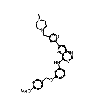 COc1ccc(COc2cccc(Nc3ncnc4cc(-c5cc(CN6CCN(C)CC6)co5)sc34)c2)cc1